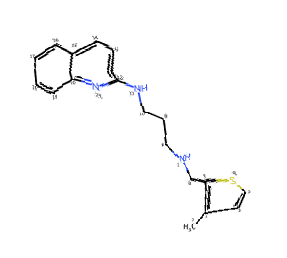 Cc1ccsc1CNCCCNc1ccc2[c]cccc2n1